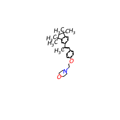 CC(=Cc1ccc(OCCN2CCOCC2)cc1)c1ccc2c(c1)C(C)(C)CC2(C)C